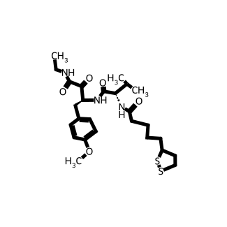 CCNC(=O)C(=O)[C@H](Cc1ccc(OC)cc1)NC(=O)[C@@H](NC(=O)CCCCC1CCSS1)C(C)C